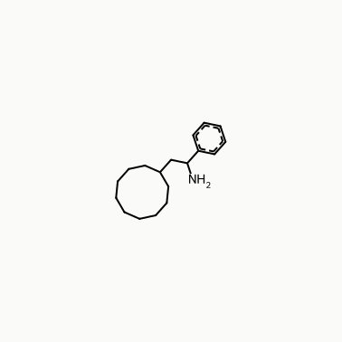 NC(CC1CCCCCCCCC1)c1ccccc1